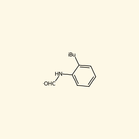 CCC(C)c1ccccc1N[C]=O